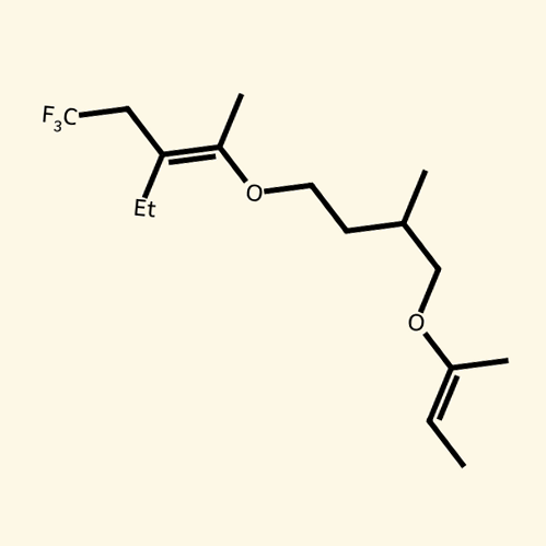 C/C=C(\C)OCC(C)CCO/C(C)=C(\CC)CC(F)(F)F